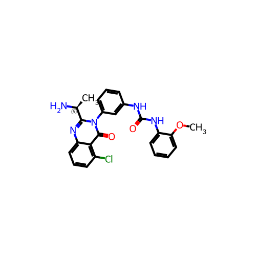 COc1ccccc1NC(=O)Nc1cccc(-n2c([C@H](C)N)nc3cccc(Cl)c3c2=O)c1